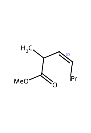 COC(=O)C(C)/C=C\C(C)C